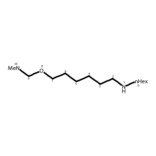 CCCCCCNCCCCCCOCNC